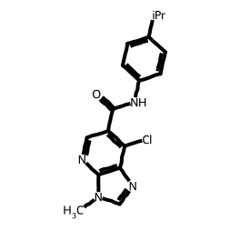 CC(C)c1ccc(NC(=O)c2cnc3c(ncn3C)c2Cl)cc1